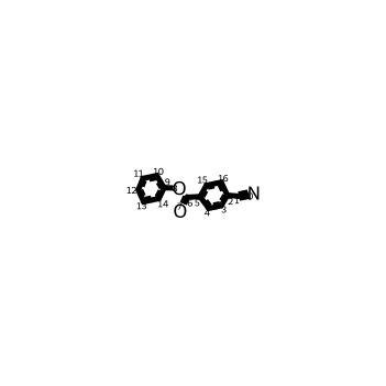 N#Cc1ccc(C(=O)Oc2ccccc2)cc1